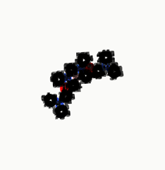 c1ccc(N(c2ccccc2)c2ccc3c(c2)oc2c4c(ccc23)B2c3ccc5c(oc6cc(N(c7ccccc7)c7ccccc7)ccc65)c3N(c3ccccc3)c3cccc(c32)N4c2ccccc2)cc1